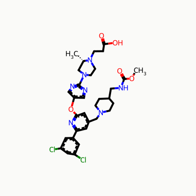 COC(=O)NCC1CCN(Cc2cc(Oc3cnc(N4CCN(CCC(=O)O)[C@@H](C)C4)nc3)nc(-c3cc(Cl)cc(Cl)c3)c2)CC1